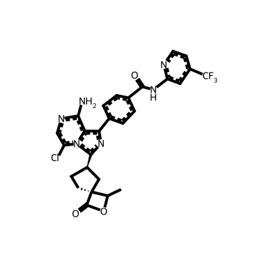 CC1OC(=O)[C@]12CC[C@@H](c1nc(-c3ccc(C(=O)Nc4cc(C(F)(F)F)ccn4)cc3)c3c(N)ncc(Cl)n13)C2